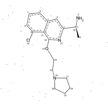 C[C@H](N)c1cc2cccc(Cl)c2c(OCCN2CCCC2)n1